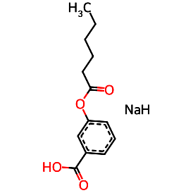 CCCCCC(=O)Oc1cccc(C(=O)O)c1.[NaH]